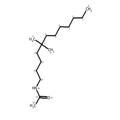 CCCCCCCC(C)(C)CCCCNC(C)=O